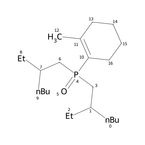 CCCCC(CC)CP(=O)(CC(CC)CCCC)C1=C(C)CCCC1